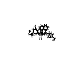 C=CC1CN2CCC1CC2[C@H](NC(=O)Nc1cc(C)cc(C(F)(F)F)c1)c1ccnc2ccccc12